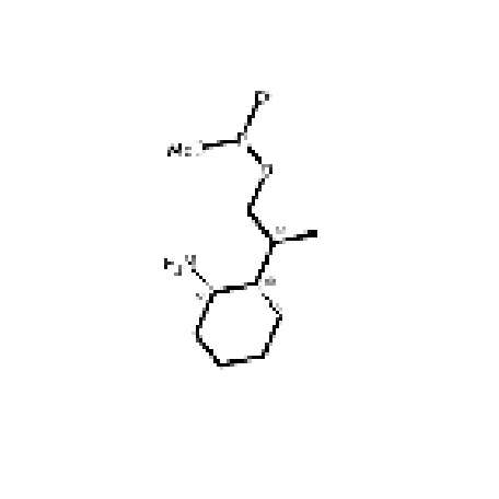 CCP(OC)OC[C@@H](C)[C@@H]1CCCC[C@@H]1N